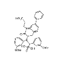 COc1cccc(C(N(c2cccc(OC)c2)C(Cc2ccc(-c3ccccc3)cc2)C(=O)NCCC(=O)O)P(=O)(O)O)c1